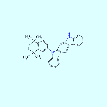 CC1(C)CCC(C)(C)c2cc(-n3c4ccccc4c4cc5c(cc43)[nH]c3ccccc35)ccc21